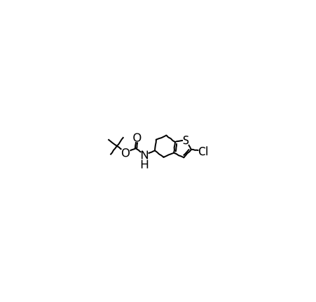 CC(C)(C)OC(=O)NC1CCc2sc(Cl)cc2C1